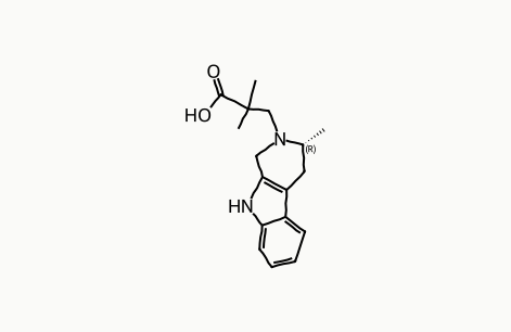 C[C@@H]1Cc2c([nH]c3ccccc23)CN1CC(C)(C)C(=O)O